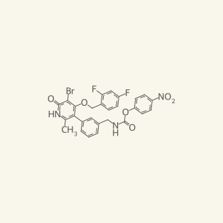 Cc1[nH]c(=O)c(Br)c(OCc2ccc(F)cc2F)c1-c1cccc(CNC(=O)Oc2ccc([N+](=O)[O-])cc2)c1